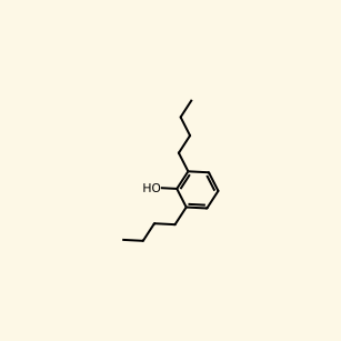 CCCCc1cccc(CCCC)c1O